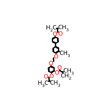 C=C(C)C(=O)Oc1ccc(-c2ccc(OCCOc3ccc(OC(=O)C(=C)C)c(OC(=O)C(=C)C)c3)c(C)c2)cc1